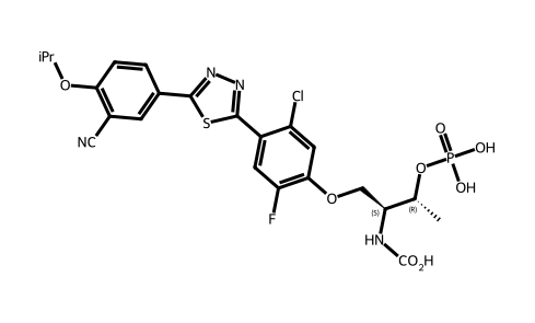 CC(C)Oc1ccc(-c2nnc(-c3cc(F)c(OC[C@H](NC(=O)O)[C@@H](C)OP(=O)(O)O)cc3Cl)s2)cc1C#N